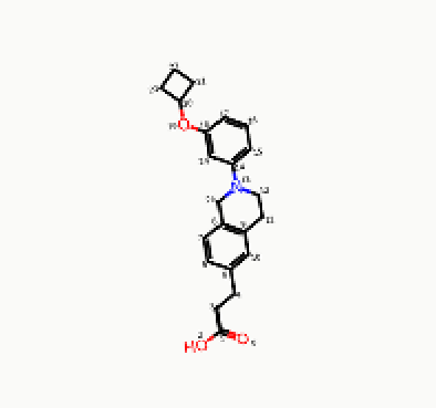 O=C(O)CCc1ccc2c(c1)CCN(c1cccc(OC3CCC3)c1)C2